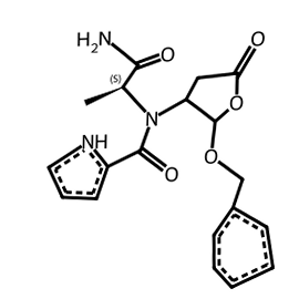 C[C@@H](C(N)=O)N(C(=O)c1ccc[nH]1)C1CC(=O)OC1OCc1ccccc1